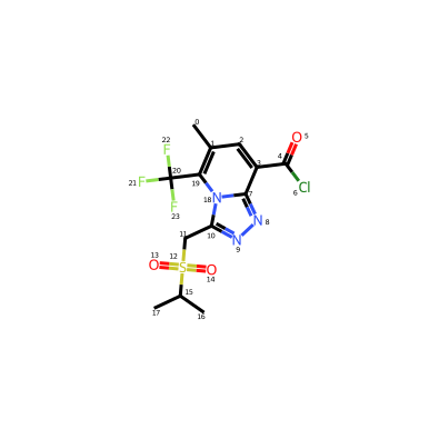 Cc1cc(C(=O)Cl)c2nnc(CS(=O)(=O)C(C)C)n2c1C(F)(F)F